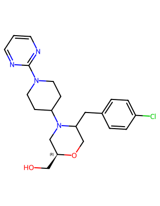 OC[C@H]1CN(C2CCN(c3ncccn3)CC2)C(Cc2ccc(Cl)cc2)CO1